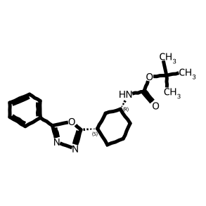 CC(C)(C)OC(=O)N[C@@H]1CCC[C@H](c2nnc(-c3ccccc3)o2)C1